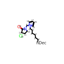 CCCCCCCCCCCCCCCC[N+]1(CN2CCCC2=O)C=CC=C1.[Cl-]